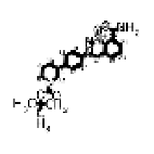 CC(C)(C)OC(=O)N1CCCC(c2ccc(NCc3cccc(C(N)=O)c3[N+](=O)[O-])cc2)C1